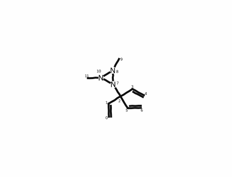 C=CC(C=C)(C=C)n1n(C)n1C